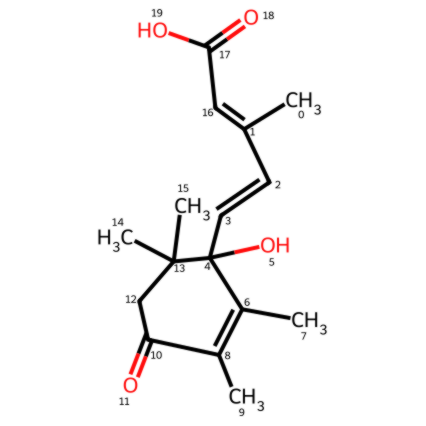 CC(C=CC1(O)C(C)=C(C)C(=O)CC1(C)C)=CC(=O)O